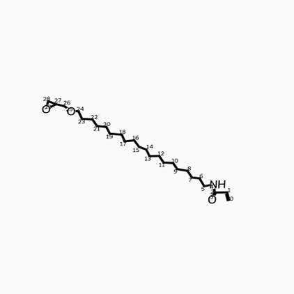 C=CC(=O)NCCCCCCCCCCCCCCCCCCCCOCC1CO1